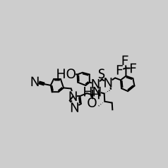 CC[C@H](C)[C@@H](CN(Cc1ccccc1C(F)(F)F)C(=S)Nc1ccc(O)cc1)NC(=O)Cc1cncn1Cc1ccc(C#N)cc1